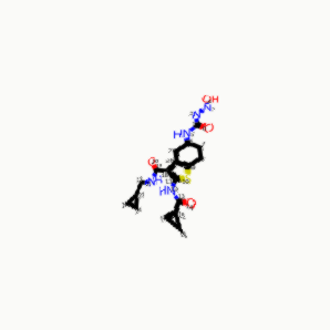 O=C(N=NO)NC1CCc2sc(NC(=O)C3CC3)c(C(=O)NCC3CC3)c2C1